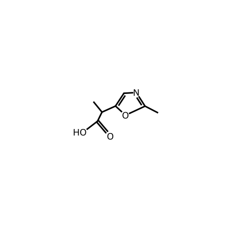 Cc1ncc(C(C)C(=O)O)o1